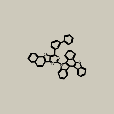 c1ccc(-c2cccc(-c3nc(-n4c5ccccc5c5c6c7ccccc7sc6c6ccccc6c54)nc4c3oc3c5ccccc5ccc43)c2)cc1